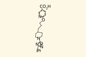 CC(C)c1noc(N2CCC(CCCOc3ccc(C(=O)O)cn3)CC2)n1